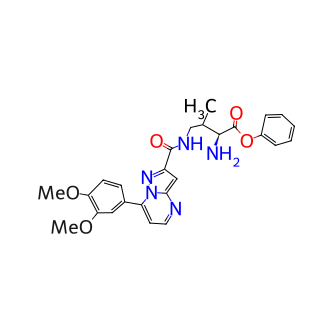 COc1ccc(-c2ccnc3cc(C(=O)NCC(C)[C@H](N)C(=O)Oc4ccccc4)nn23)cc1OC